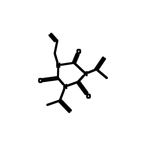 C=CCn1c(=O)n(C(=C)C)c(=O)n(C(=C)C)c1=O